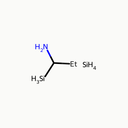 CCC(N)[SiH3].[SiH4]